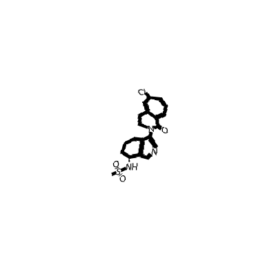 CS(=O)(=O)N[C@@H]1CCCc2c1cncc2N1CCC2=CC(Cl)C=CC=C2C1=O